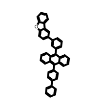 c1ccc(-c2ccc(-c3c4ccccc4c(-c4cccc(-c5ccc6oc7ccccc7c6c5)c4)c4ccccc34)cc2)cc1